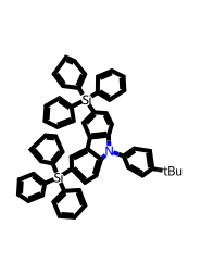 CC(C)(C)c1ccc(-n2c3ccc([Si](c4ccccc4)(c4ccccc4)c4ccccc4)cc3c3cc([Si](c4ccccc4)(c4ccccc4)c4ccccc4)ccc32)cc1